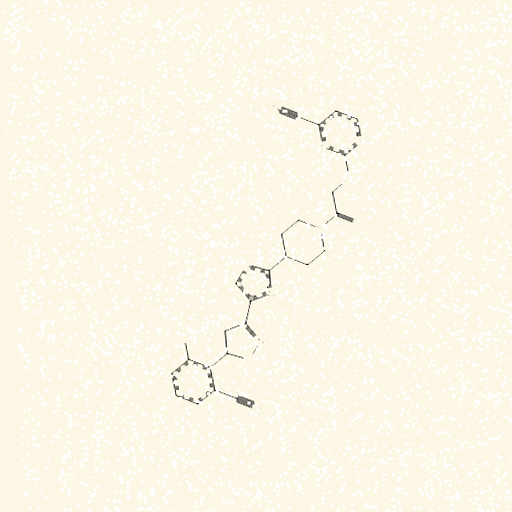 N#Cc1ccnc(OCC(=O)N2CCC(c3nc(C4=NOC(c5c(Cl)cccc5C#N)C4)cs3)CC2)n1